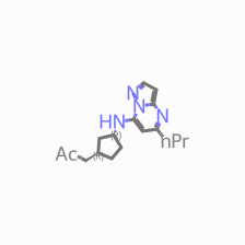 CCCc1cc(N[C@@H]2CC[C@@H](CC(C)=O)C2)n2nccc2n1